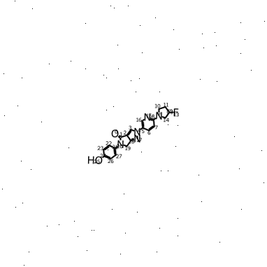 O=C1c2cn(-c3ccc(N4CC[C@@H](F)C4)nc3)nc2CN1c1ccc(O)cc1